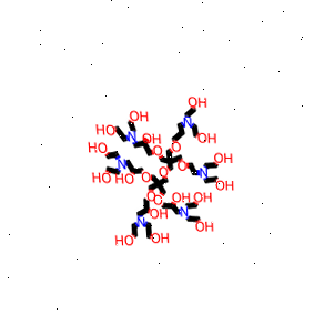 OCCN(CCO)CCCOCC(COCCN(CCO)CCO)(COCC(O)CN(CCO)CCO)COCC(COCC(O)CN(CCO)CCO)(COCC(O)CN(CCO)CCO)COCC(O)CN(CCO)CCO